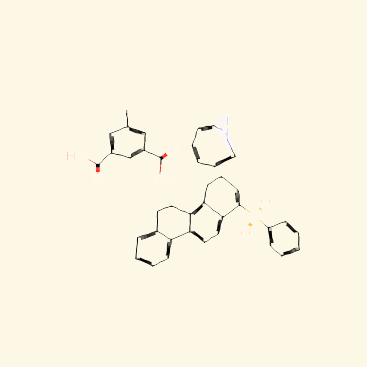 C1=CC=CNC=C1.Cc1cc(C(=O)O)cc(C(=O)O)c1.O=S(=O)(C1=CCCc2c1ccc1c2CCc2ccccc2-1)c1ccccc1